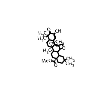 COC(=O)[C@]12CCC(C)(C)CC1C1C3OCC3=C3[C@@]4(C)C=C(C#N)C(=O)C(C)(C)C4CC[C@@]3(C)[C@]1(C)CC2